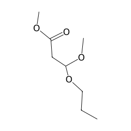 CCCOC(CC(=O)OC)OC